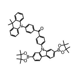 CC1(C)c2ccccc2N(c2ccc(C(=O)c3ccc(-n4c5cc(B6OC(C)(C)C(C)(C)O6)ccc5c5ccc(B6OC(C)(C)C(C)(C)O6)cc54)cc3)cc2)c2ccccc21